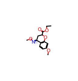 CCOC(=O)C1C/C(=N\OC)c2ccc(OC)cc2O1